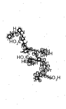 Cc1c(-c2ccc(N3CCc4cccc(C(=O)Nc5nc6ccccc6s5)c4C3)nc2C(=O)O)cnn1CC12CC3(C)CC(C)(C1)CC(OCCN(CC[C@@H](O)[C@H](O)[C@H](O)CO)C(=O)OCc1ccc(NC(=O)[C@H](C)NC(=O)C(NC(=O)CN4C(=O)[C@@H](N5C(=O)C=CC5=O)C[C@H]4COCCS(=O)(=O)O)C(C)C)cc1CC[C@@H]1O[C@H](C(=O)O)[C@@H](O)[C@H](O)[C@H]1O)(C3)C2